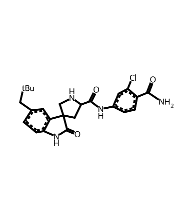 CC(C)(C)Cc1ccc2c(c1)C1(CNC(C(=O)Nc3ccc(C(N)=O)c(Cl)c3)C1)C(=O)N2